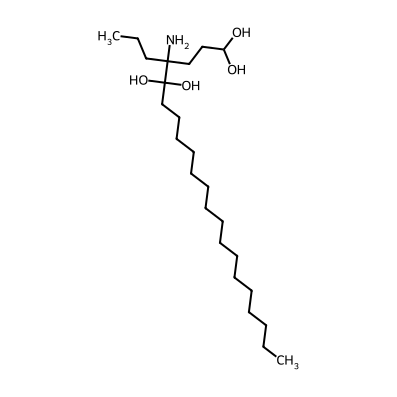 CCCCCCCCCCCCCCCCC(O)(O)C(N)(CCC)CCC(O)O